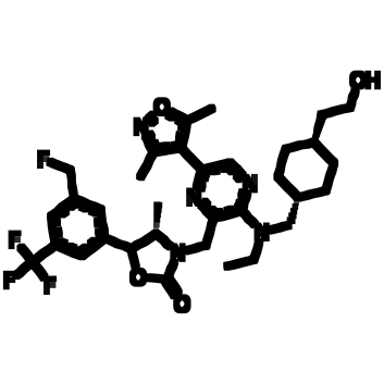 CCN(C[C@H]1CC[C@H](CCO)CC1)c1ncc(-c2c(C)noc2C)nc1CN1C(=O)OC(c2cc(CF)cc(C(F)(F)F)c2)[C@@H]1C